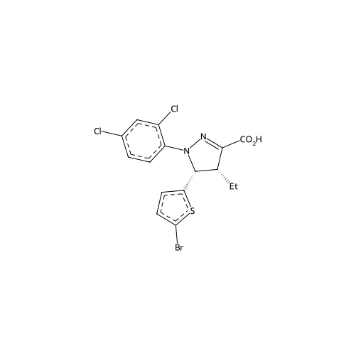 CC[C@H]1C(C(=O)O)=NN(c2ccc(Cl)cc2Cl)[C@H]1c1ccc(Br)s1